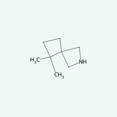 CC1(C)CCC12CNC2